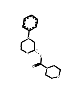 O=C(O[C@H]1CN(c2ccccc2)CC[N]1)N1CCOCC1